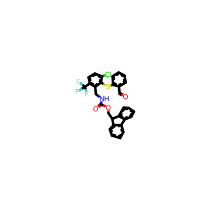 O=Cc1ccccc1Sc1c(Cl)ccc(C(F)(F)F)c1CNC(=O)OCC1c2ccccc2-c2ccccc21